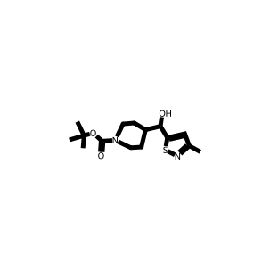 Cc1cc(C(O)C2CCN(C(=O)OC(C)(C)C)CC2)sn1